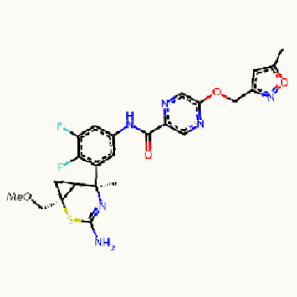 COC[C@]12CC1[C@@](C)(c1cc(NC(=O)c3cnc(OCc4cc(C)on4)cn3)cc(F)c1F)N=C(N)S2